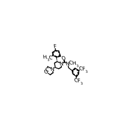 Cc1cc(F)ccc1[C@@H]1C[C@H](N2CCOCC2)CCN1C(=O)N(C)Cc1cc(C(F)(F)F)cc(C(F)(F)F)c1